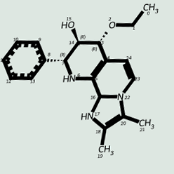 CCO[C@@H]1C2=C(N[C@H](c3ccccc3)[C@H]1O)C1NC(C)=C(C)N1C=C2